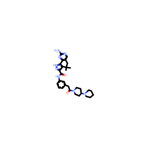 CC1(C)Cc2cnc(N)nc2-c2[nH]nc(C(=O)Nc3cccc(CC(=O)N4CCC(N5CCCCC5)CC4)c3)c21